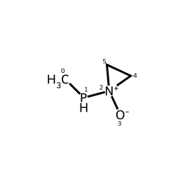 CP[N+]1([O-])CC1